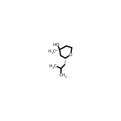 CC(C)C[C@@H]1C[C@@](C)(O)CCO1